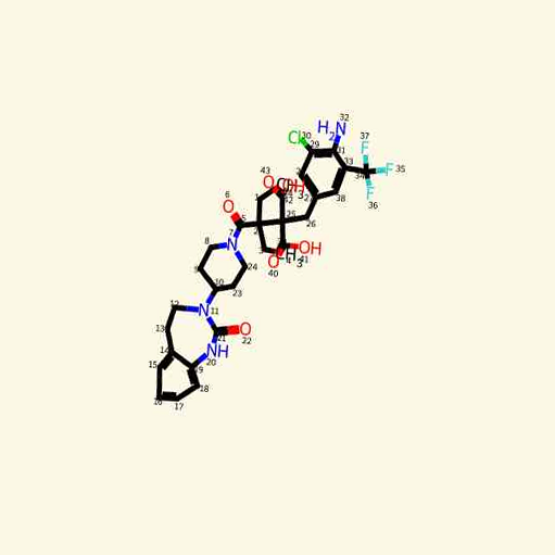 CCC(CC)(C(=O)N1CCC(N2CCc3ccccc3NC2=O)CC1)C(Cc1cc(Cl)c(N)c(C(F)(F)F)c1)(C(=O)O)C(=O)O